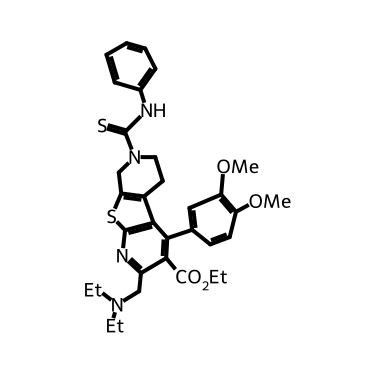 CCOC(=O)c1c(CN(CC)CC)nc2sc3c(c2c1-c1ccc(OC)c(OC)c1)CCN(C(=S)Nc1ccccc1)C3